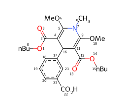 CCCCOC(=O)C1=C(OC)N(C)C(OC)=C(C(=O)OCCCC)C1c1cccc(C(=O)O)c1